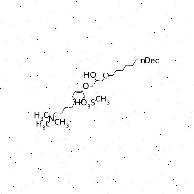 CCCCCCCCCCCCCCCCOCC(O)COc1ccc(CCCC[N+](C)(C)C)cc1.CS(=O)(=O)O